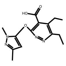 CCc1nnc(Oc2cc(C)nn2C)c(C(=O)O)c1CC